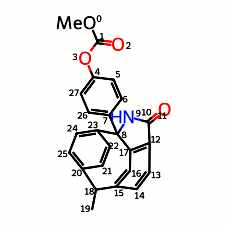 COC(=O)Oc1ccc(C23NC(=O)c4ccc(cc42)C(C)c2ccc3cc2)cc1